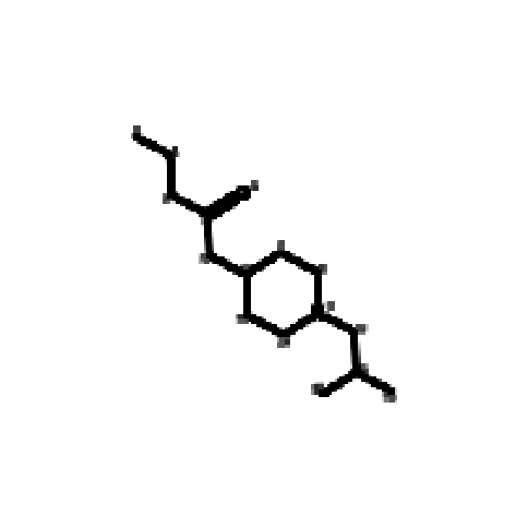 CCCC(=O)CC1CCN(CC(C)C)CC1